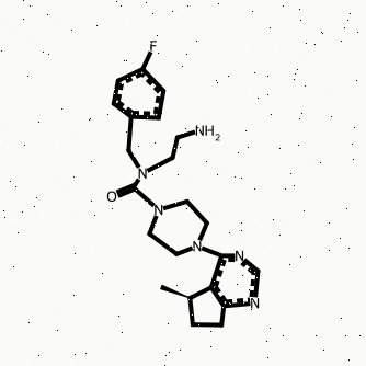 C[C@@H]1CCc2ncnc(N3CCN(C(=O)N(CCN)Cc4ccc(F)cc4)CC3)c21